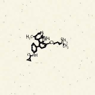 Cc1cnc2[nH]c3c(OCCCN(C)C)ccc(-c4cccc(NC(=O)C5CC5)c4)c3c2c1